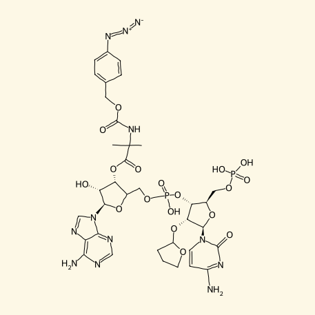 CC(C)(NC(=O)OCc1ccc(N=[N+]=[N-])cc1)C(=O)O[C@@H]1C(COP(=O)(O)O[C@H]2[C@@H](OC3CCCO3)[C@H](n3ccc(N)nc3=O)O[C@@H]2COP(=O)(O)O)O[C@@H](n2cnc3c(N)ncnc32)[C@@H]1O